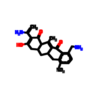 C=C(N)C1=C(O)CC2CC3Cc4c([N+](=O)[O-])ccc(CN)c4C(=O)C3=C(C)C2C1=O